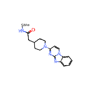 CSNC(=O)CC1CCN(c2ccn3c(n2)nc2ccccc23)CC1